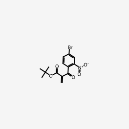 C=C(C(=O)OC(C)(C)C)C(=O)c1ccc(Br)cc1[N+](=O)[O-]